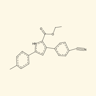 CCOC(=O)c1[nH]c(-c2ccc(C)cc2)cc1-c1ccc(C#N)cc1